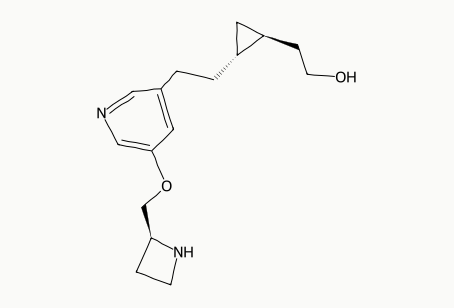 OCC[C@@H]1C[C@H]1CCc1cncc(OC[C@@H]2CCN2)c1